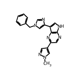 Cn1cc(-c2cnc3[nH]cc(-c4cn(Cc5ccccc5)cn4)c3n2)cn1